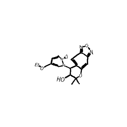 CCOc1cc[n+](=O)n(C2c3cc4nonc4cc3OC(C)(C)C2O)c1